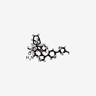 Cc1cnc(-c2ccc(-c3cnn4c(N)c(S(C)(=O)=O)c(C5CC6CCC(C5)N6C(=O)c5nnc[nH]5)nc34)cn2)s1